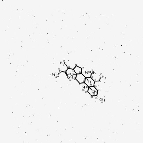 CC[C@@H]1C(O)[C@@H]2[C@H](CCC3(C)C([C@H](C)C(=O)OC)CC[C@@H]23)C2(C)CC[C@@H](O)CC12